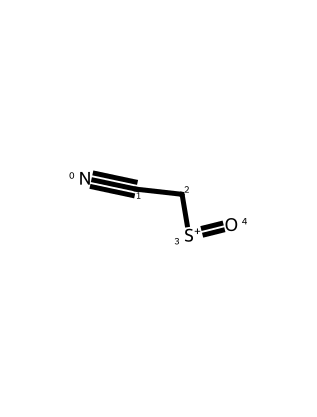 N#CC[S+]=O